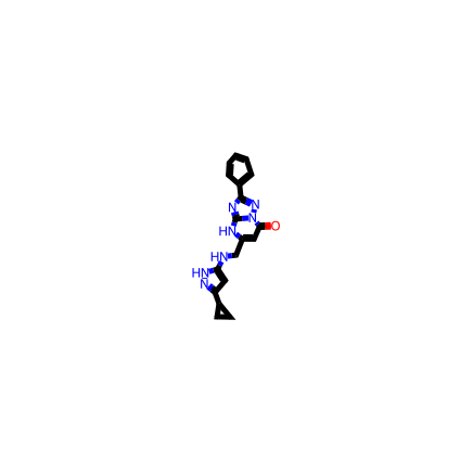 O=c1cc(CNc2cc(C3CC3)n[nH]2)[nH]c2nc(-c3ccccc3)nn12